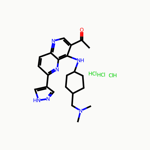 CC(=O)c1cnc2ccc(-c3cn[nH]c3)nc2c1NC1CCC(CN(C)C)CC1.Cl.Cl.Cl